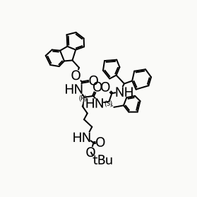 CC(C)(C)OC(=O)NCCCC[C@@H](NC(=O)OCC1c2ccccc2-c2ccccc21)C(=O)N[C@@H](Cc1ccccc1)C(=O)NC(c1ccccc1)c1ccccc1